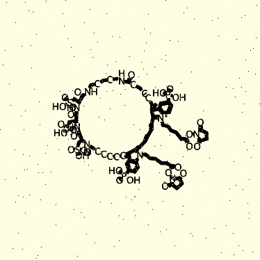 CC12CCCCCC(=O)NCCCCCNC(=O)C(CS(=O)(=O)O)NC(=O)C(CS(=O)(=O)O)NC(=O)C(CS(=O)(=O)O)NC(=O)CCCCCC3(C)/C(=C/C=C/C=C/C1=[N+](CCCCCC(=O)ON1C(=O)CCC1=O)c1ccc(P(=O)(O)O)cc12)N(CCCCCC(=O)ON1C(=O)CCC1=O)c1ccc(P(=O)(O)O)cc13